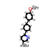 CCCCc1ccc(-c2ccc(-c3ccc(OCCC)cc3)cc2)nc1